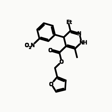 CCC1=NNC(C)=C(C(=O)OCc2ccco2)C1c1cccc([N+](=O)[O-])c1